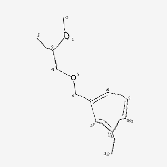 COC(C)COCc1cccc(C)c1